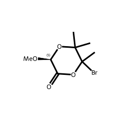 CO[C@H]1OC(C)(C)C(C)(Br)OC1=O